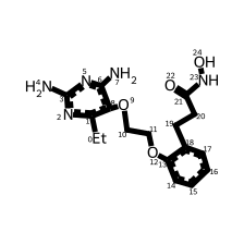 CCc1nc(N)nc(N)c1OCCOc1ccccc1CCC(=O)NO